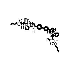 C=CCCOC(=O)N[C@H](C(=O)N1CCC[C@H]1C1=NCC(c2ccc(-c3ccc(-c4cnc([C@@H]5CCCN5C(=O)[C@@H](NC(=O)OCCC=C)C(C)C)[nH]4)cc3)cc2)N1)C(C)C